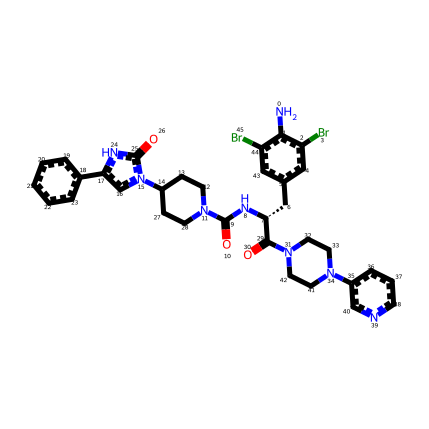 Nc1c(Br)cc(C[C@@H](NC(=O)N2CCC(n3cc(-c4ccccc4)[nH]c3=O)CC2)C(=O)N2CCN(c3cccnc3)CC2)cc1Br